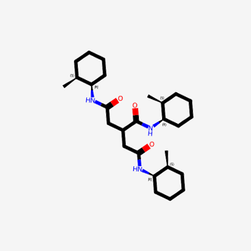 C[C@H]1CCCC[C@H]1NC(=O)CC(CC(=O)N[C@@H]1CCCC[C@@H]1C)C(=O)N[C@@H]1CCCC[C@@H]1C